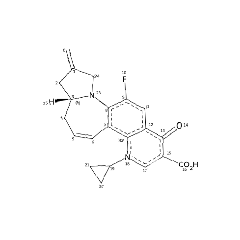 C=C1C[C@H]2CC=Cc3c(c(F)cc4c(=O)c(C(=O)O)cn(C5CC5)c34)N2C1